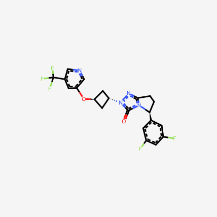 O=c1n2c(nn1[C@H]1C[C@H](Oc3cncc(C(F)(F)F)c3)C1)CC[C@H]2c1cc(F)cc(F)c1